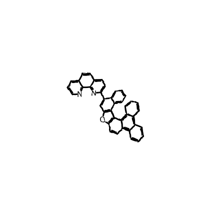 c1cnc2c(c1)ccc1ccc(-c3cc4oc5ccc6c7ccccc7c7ccccc7c6c5c4c4ccccc34)nc12